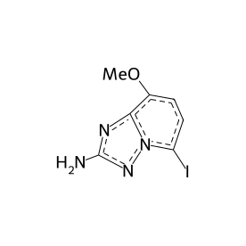 COc1ccc(I)n2nc(N)nc12